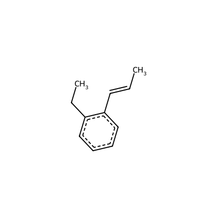 CC=Cc1ccccc1CC